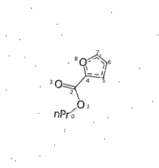 CCCOC(=O)c1cc[c]o1